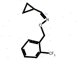 FC(F)(F)c1ccccc1CO/N=[C]\C1CC1